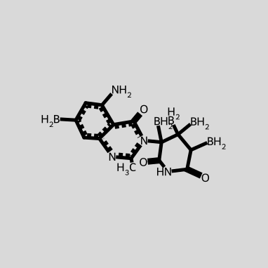 Bc1cc(N)c2c(=O)n(C3(B)C(=O)NC(=O)C(B)C3(B)B)c(C)nc2c1